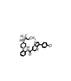 CCC(C)NC1CCN(c2ccccc2NC(=O)c2cnc3c(-c4ccc(Cl)cc4)cnn3c2)CC1